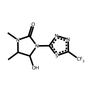 CC1C(O)N(c2nnc(C(F)(F)F)s2)C(=O)N1C